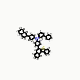 c1ccc(-c2cccc(N(c3ccc(-c4ccc5ccccc5c4)cc3)c3ccc(-c4cc5ccccc5c5c4sc4ccccc45)cc3)c2)cc1